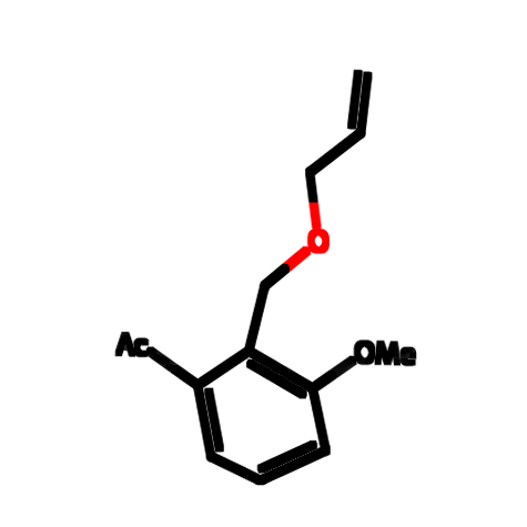 C=CCOCc1c(OC)cccc1C(C)=O